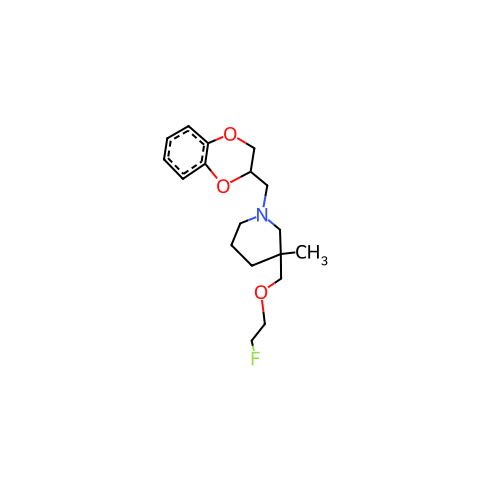 CC1(COCCF)CCCN(CC2COc3ccccc3O2)C1